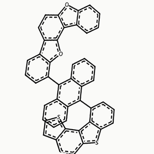 c1ccc2c(c1)oc1ccc3c4cccc(-c5c6ccccc6c(-c6cccc7sc8ccc9ccsc9c8c67)c6ccccc56)c4oc3c12